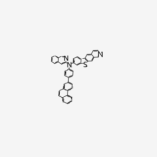 c1ccc2cc(N(c3ccc(-c4ccc5c(ccc6ccccc65)c4)cc3)c3ccc4c(c3)sc3cc5cnccc5cc34)ncc2c1